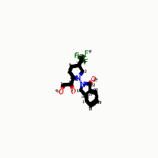 O=CC(=O)C1CCC(C(F)(F)F)CN1N1Cc2ccccc2C1=O